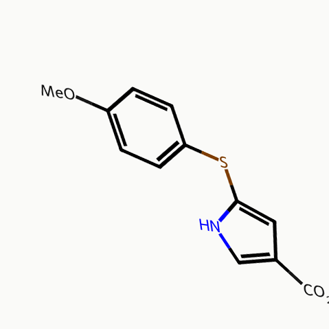 COc1ccc(Sc2cc(C(=O)O)c[nH]2)cc1